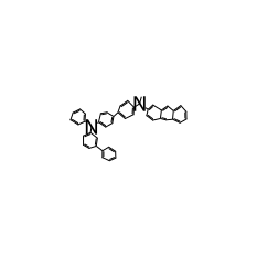 CN(c1ccc(-c2ccc(N(c3ccccc3)c3cccc(-c4ccccc4)c3)cc2)cc1)c1ccc2cc3ccccc3cc2c1